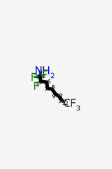 NC(F)(F)C(F)CCCCCCC(F)(F)F